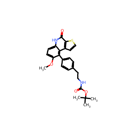 COc1ccc2[nH]c(=O)c3sccc3c2c1-c1ccc(CCNC(=O)OC(C)(C)C)cc1